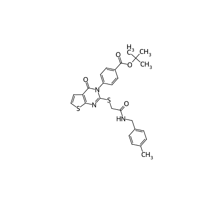 Cc1ccc(CNC(=O)CSc2nc3sccc3c(=O)n2-c2ccc(C(=O)OC(C)(C)C)cc2)cc1